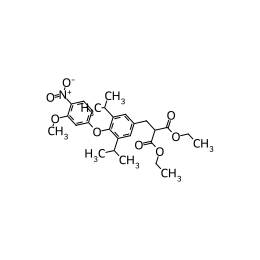 CCOC(=O)C(Cc1cc(C(C)C)c(Oc2ccc([N+](=O)[O-])c(OC)c2)c(C(C)C)c1)C(=O)OCC